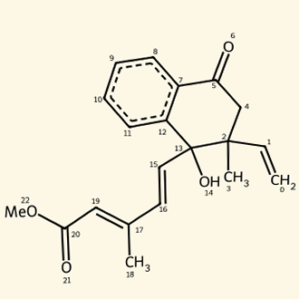 C=CC1(C)CC(=O)c2ccccc2C1(O)C=CC(C)=CC(=O)OC